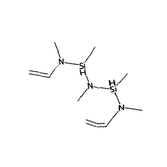 C=CN(C)[SiH](C)N(C)[SiH](C)N(C)C=C